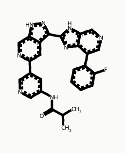 CC(C)C(=O)Nc1cncc(-c2cc3c(-c4nc5c(-c6ccccc6F)cncc5[nH]4)n[nH]c3cn2)c1